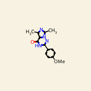 COc1ccc(-c2nn3c(C)nc(C)c3c(=O)[nH]2)cc1